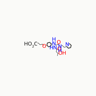 CC(O)CC(=O)NC(Nc1ccc(OCCCC(=O)O)cc1)C(=O)NCCc1ccccn1